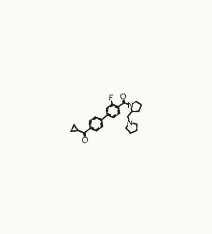 O=C(c1ccc(-c2ccc(C(=O)N3CCCC3CN3CCCC3)c(F)c2)cc1)C1CC1